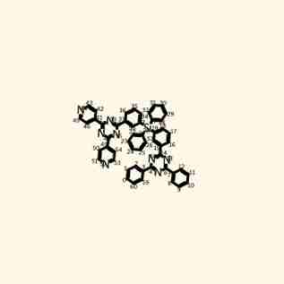 c1ccc(-c2nc(-c3ccccc3)nc(-c3cccc([Si](c4ccccc4)(c4ccccc4)c4cccc(-c5nc(-c6ccncc6)nc(-c6ccncc6)n5)c4)c3)n2)cc1